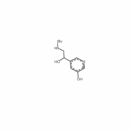 CC(C)(C)NCC(O)c1cncc(O)c1